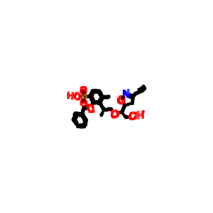 C#CC1=NO[C@H]([C@@H](CO)OC[C@@H](C)c2c(C)ccc(S(=O)(=O)O)c2OCc2ccccc2)C1